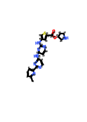 Cc1cccc(-c2nccc(Nc3ccnc(Nc4csc(C(=O)O[C@@H]5CCNC5)c4)n3)n2)n1